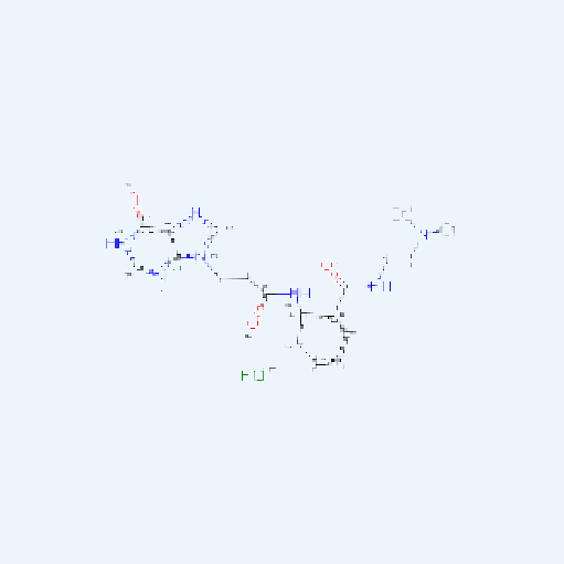 CCN(CC)CCNC(=O)c1ccccc1NC(=O)CCn1cnc2c(=O)[nH]cnc21.Cl